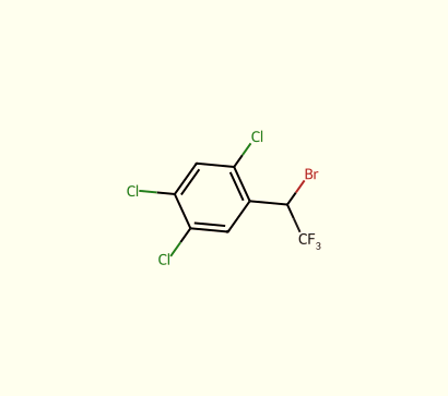 FC(F)(F)C(Br)c1cc(Cl)c(Cl)cc1Cl